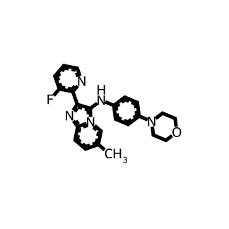 Cc1ccc2nc(-c3ncccc3F)c(Nc3ccc(N4CCOCC4)cc3)n2c1